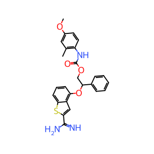 COc1ccc(NC(=O)OCC(Oc2cccc3sc(C(=N)N)cc23)c2ccccc2)c(C)c1